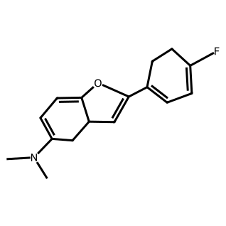 CN(C)C1=CC=C2OC(C3=CC=C(F)CC3)=CC2C1